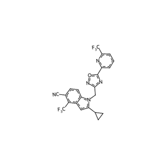 N#Cc1ccc2c(cc(C3CC3)n2Cc2noc(-c3cccc(C(F)(F)F)n3)n2)c1C(F)(F)F